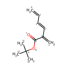 C=CC=CC(=C)C(=O)OC(C)(C)C